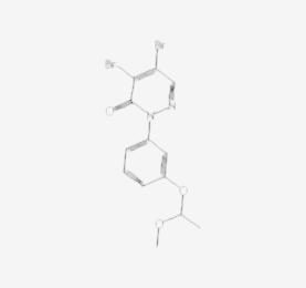 COC(C)Oc1cccc(-n2ncc(Br)c(Br)c2=O)c1